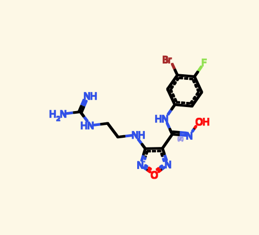 N=C(N)NCCNc1nonc1/C(=N/O)Nc1ccc(F)c(Br)c1